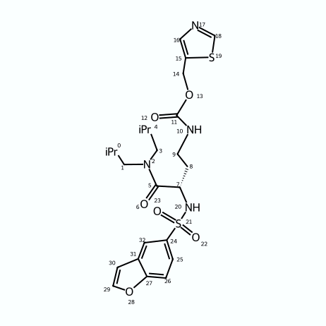 CC(C)CN(CC(C)C)C(=O)[C@H](CCNC(=O)OCc1cncs1)NS(=O)(=O)c1ccc2occc2c1